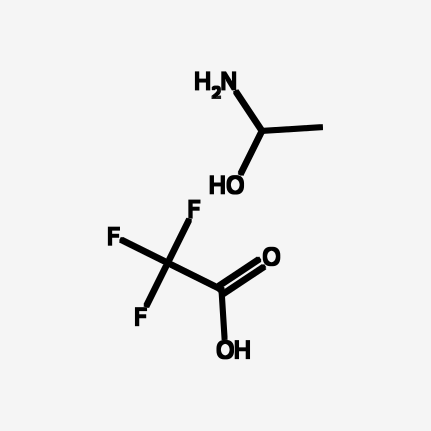 CC(N)O.O=C(O)C(F)(F)F